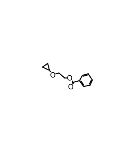 O=C(OCCOC1CC1)c1ccccc1